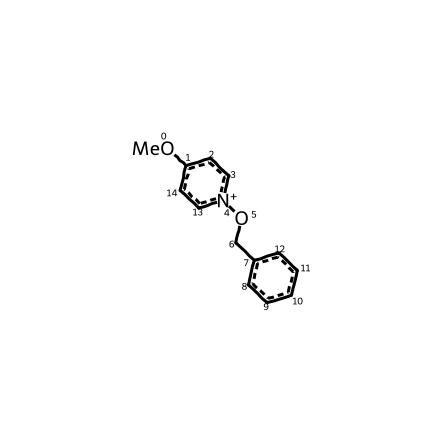 COc1cc[n+](OCc2ccccc2)cc1